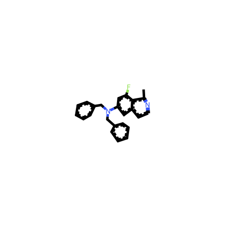 Cc1nccc2cc(N(Cc3ccccc3)Cc3ccccc3)cc(F)c12